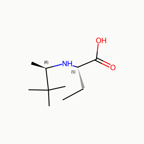 CC[C@H](N[C@H](C)C(C)(C)C)C(=O)O